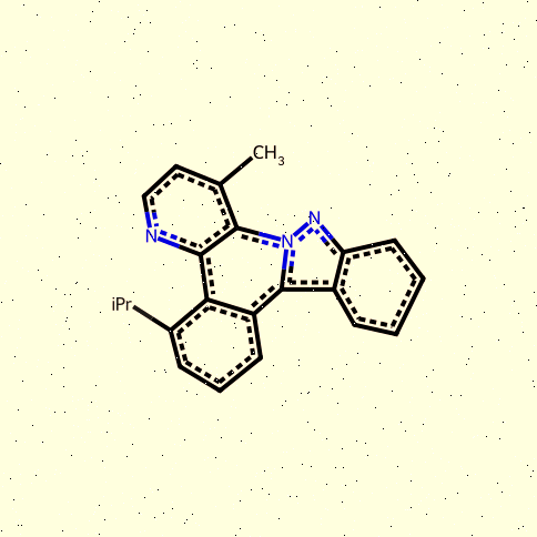 Cc1ccnc2c3c(C(C)C)cccc3c3c4ccccc4nn3c12